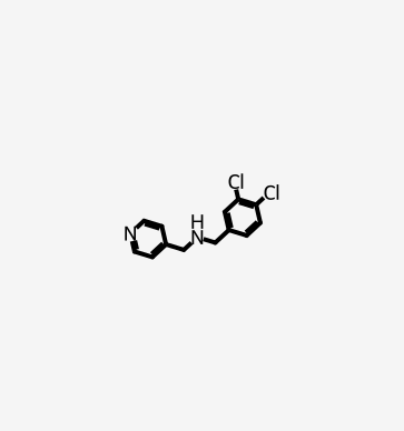 Clc1ccc(CNCc2ccncc2)cc1Cl